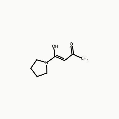 CC(=O)/C=C(\O)N1CCCC1